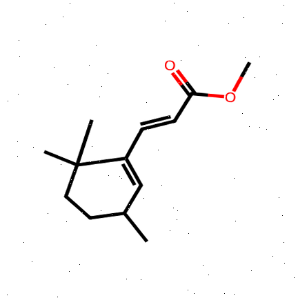 COC(=O)C=CC1=CC(C)CCC1(C)C